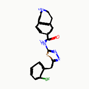 O=C(Nc1nnc(Cc2ccccc2Br)s1)c1ccc2c(c1)CCNC2